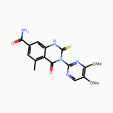 COc1cnc(-n2c(=S)[nH]c3cc(C(N)=O)cc(C)c3c2=O)nc1OC